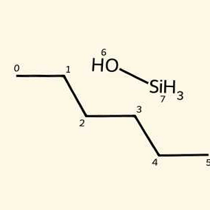 CCCCCC.O[SiH3]